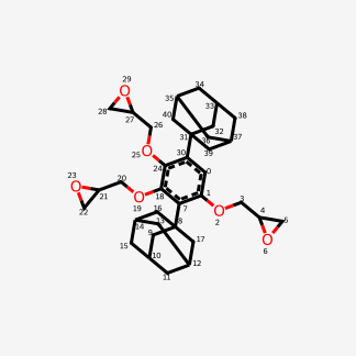 c1c(OCC2CO2)c(C23CC4CC(CC(C4)C2)C3)c(OCC2CO2)c(OCC2CO2)c1C12CC3CC(CC(C3)C1)C2